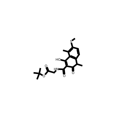 CSc1ccc2c(c1C)C(O)=C(C(=O)NCC(=O)OC(C)(C)C)C(=O)C2C